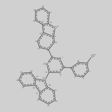 Clc1cccc(-c2nc(-c3ccc4c(c3)oc3ccccc34)nc(-n3c4ccccc4c4ccccc43)n2)c1